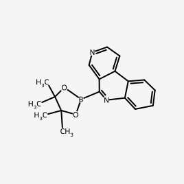 CC1(C)OB(c2nc3ccccc3c3ccncc23)OC1(C)C